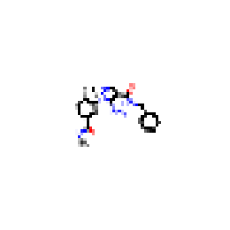 CCC(C)NC(=O)c1ccc(C)c(-n2ncc(C(=O)NCc3ccccc3)c2N)c1